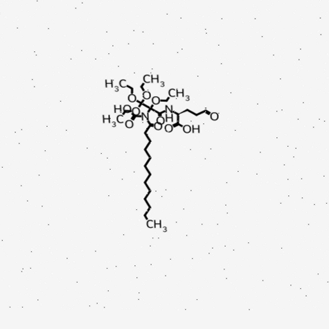 CCCCCCCCCCCCC(=O)N(C(=O)O)C(OCC)(C(=O)N[C@@H](CC[C]=O)C(=O)O)C(OCC)(OCC)OCC